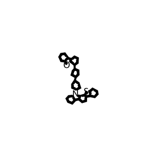 c1ccc2c(c1)oc1c(-c3ccc(-c4ccc(-n5c6ccccc6c6ccc7c8ccccc8sc7c65)cc4)cc3)cccc12